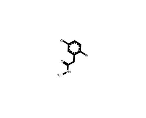 CNC(=O)Cc1cc(Cl)ccc1Br